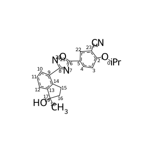 CC(C)Oc1ccc(-c2nc(-c3cccc4c3CCC4(C)O)no2)cc1C#N